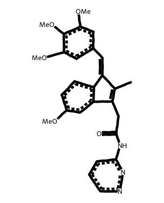 COc1ccc2c(c1)C(CC(=O)Nc1cccnn1)=C(C)/C2=C/c1cc(OC)c(OC)c(OC)c1